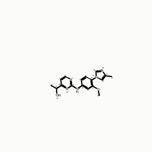 COc1cc(Nc2nccc(C(C)O)n2)ccc1-n1cnc(C)c1